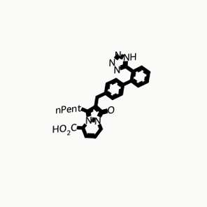 CCCCCc1c(Cc2ccc(-c3ccccc3-c3nnn[nH]3)cc2)c(=O)n2n1C(C(=O)O)C=CC2